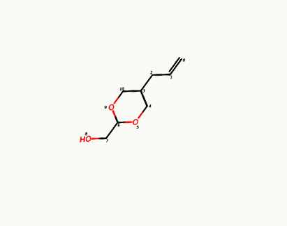 C=CCC1COC(CO)OC1